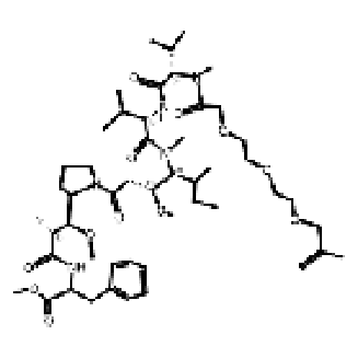 C=C(C)COCCOCCOCC(=O)N(C)[C@H](C(=O)N[C@H](C(=O)N(C)[C@@H](C(C)CC)[C@@H](CC(=O)N1CCCC1C(OC)[C@@H](C)C(=O)NC(Cc1ccccc1)C(=O)OC)OC)C(C)C)C(C)C